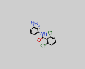 Nc1[c]c(NC(=O)c2c(Cl)cccc2Cl)ccc1